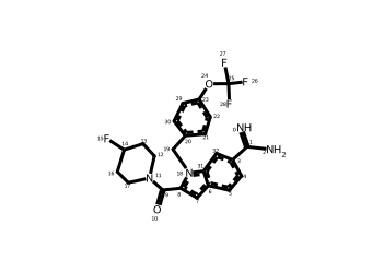 N=C(N)c1ccc2cc(C(=O)N3CCC(F)CC3)n(Cc3ccc(OC(F)(F)F)cc3)c2c1